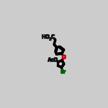 CC(=O)OC1CC(Br)CC1Oc1ccc(CCC(=O)O)cc1